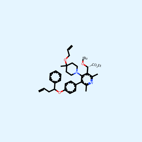 C=CCOC1(C)CCN(c2c(-c3ccc(OC(CC=C)c4ccccc4)cc3)c(C)nc(C)c2[C@H](OC(C)(C)C)C(=O)OCC)CC1